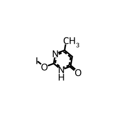 Cc1cc(=O)[nH]c(OI)n1